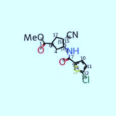 COC(=O)[C@@H]1C[C@H](NC(=O)c2ccc(Cl)s2)[C@@H](C#N)C1